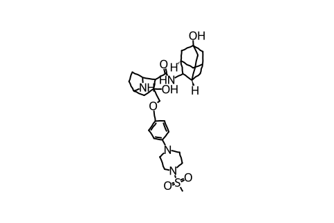 CS(=O)(=O)N1CCN(c2ccc(OCC3(O)CC4CCC(N4)C3C(=O)NC3[C@@H]4CC5C[C@H]3CC(O)(C5)C4)cc2)CC1